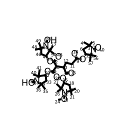 CON1C(C)(C)CC(OC(=O)CCC(C(=O)OC2CC(C)(C)N(OC)C2(C)C)C(C(=O)OC2CC(C)(C)N(O)C2(C)C)C(=O)OC2CC(C)(C)N(O)C2(C)C)C1(C)C